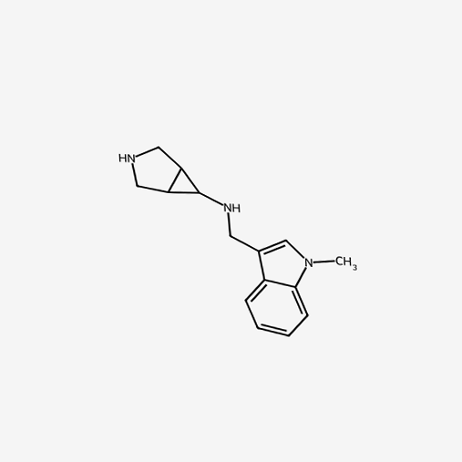 Cn1cc(CNC2C3CNCC32)c2ccccc21